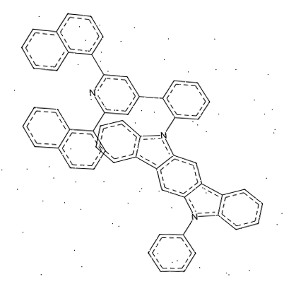 c1ccc(-n2c3ccccc3c3cc4c(cc32)c2ccccc2n4-c2ccccc2-c2cc(-c3cccc4ccccc34)nc(-c3cccc4ccccc34)c2)cc1